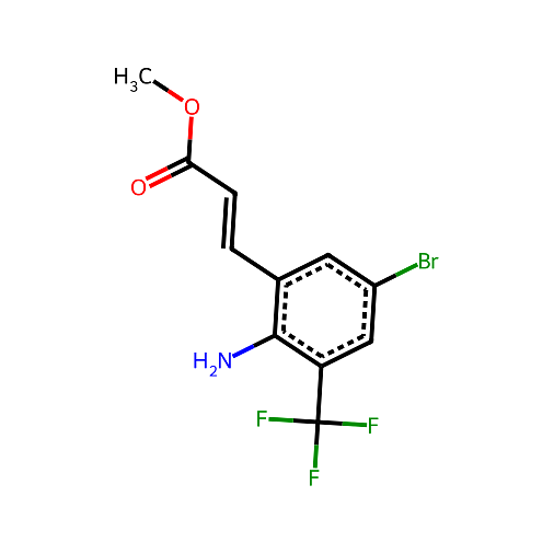 COC(=O)C=Cc1cc(Br)cc(C(F)(F)F)c1N